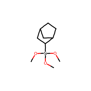 CO[Si](OC)(OC)C1CC2CCC1C2